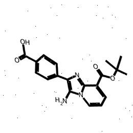 CC(C)(C)OC(=O)c1cccn2c(N)c(-c3ccc(C(=O)O)cc3)nc12